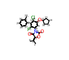 CC(C)=C1OC(=O)N(c2cc(OC3CCCC3)c(Cl)cc2F)C1=O.[CH2]c1ccccc1